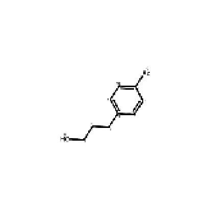 CC(=O)c1ccc(CCCO)cc1